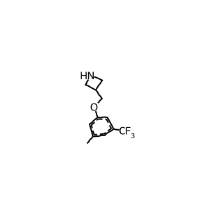 Cc1cc(OCC2CNC2)cc(C(F)(F)F)c1